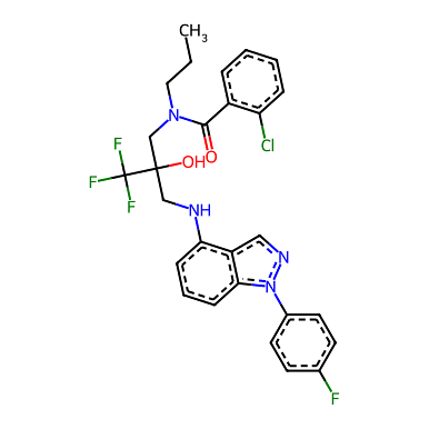 CCCN(CC(O)(CNc1cccc2c1cnn2-c1ccc(F)cc1)C(F)(F)F)C(=O)c1ccccc1Cl